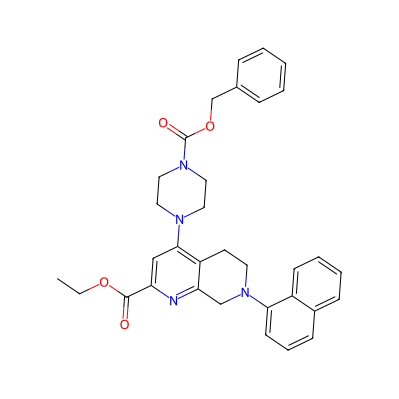 CCOC(=O)c1cc(N2CCN(C(=O)OCc3ccccc3)CC2)c2c(n1)CN(c1cccc3ccccc13)CC2